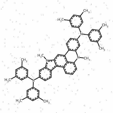 Cc1cc(C)cc(N(c2cc(C)cc(C)c2)c2ccc3c(c2)N(C)c2cccc4c2c-3cc2c4c3ccc(N(c4cc(C)cc(C)c4)c4cc(C)cc(C)c4)cc3n2C)c1